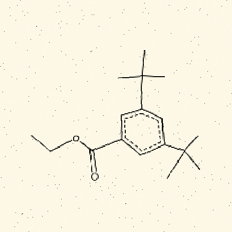 CCOC(=O)c1cc(C(C)(C)C)cc(C(C)(C)C)c1